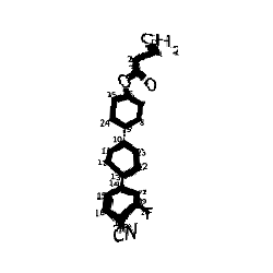 C=CCC(=O)OC1CCC([C@H]2CC[C@H](c3ccc(C#N)c(F)c3)CC2)CC1